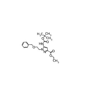 CCOC(=O)c1cc(NC(=O)OC(C)(C)C)n(CCOCc2ccccc2)n1